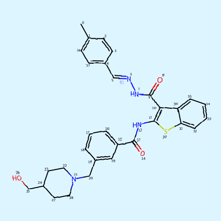 Cc1ccc(/C=N/NC(=O)c2c(NC(=O)c3cccc(CN4CCC(CO)CC4)c3)sc3ccccc23)cc1